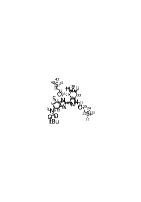 CN(C(=O)OC(C)(C)C)c1cc(F)c2c(c1)nc(-c1nn(COCC[Si](C)(C)C)c3c1C[C@@H]1C[C@]1(C)C3)n2COCC[Si](C)(C)C